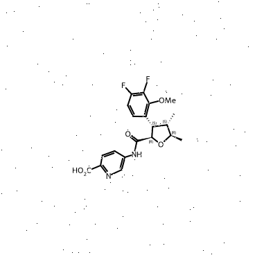 COc1c([C@@H]2[C@H](C)[C@@H](C)O[C@H]2C(=O)Nc2ccc(C(=O)O)nc2)ccc(F)c1F